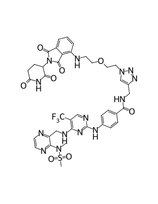 CN(c1nccnc1CNc1nc(Nc2ccc(C(=O)NCc3cn(CCOCCNc4cccc5c4C(=O)N(C4CCC(=O)NC4=O)C5=O)nn3)cc2)ncc1C(F)(F)F)S(C)(=O)=O